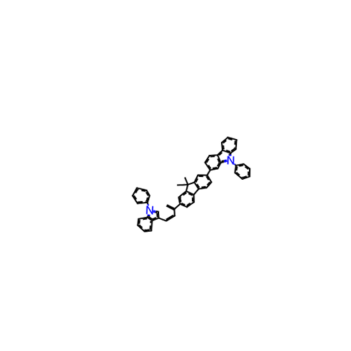 C=C(/C=C\c1cn(-c2ccccc2)c2ccccc12)c1ccc2c(c1)C(C)(C)c1cc(-c3ccc4c5ccccc5n(-c5ccccc5)c4c3)ccc1-2